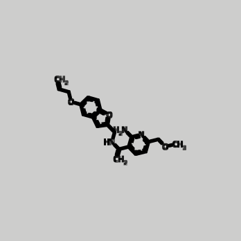 C=CCOc1ccc2oc(CNC(=C)c3ccc(COC)nc3N)cc2c1